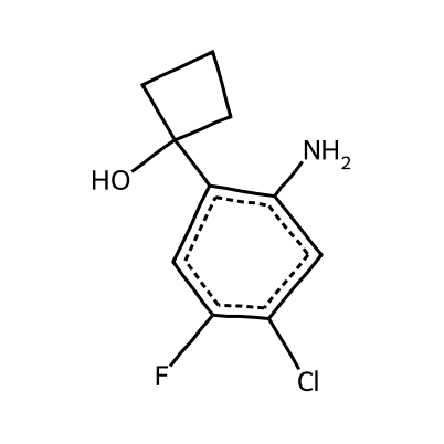 Nc1cc(Cl)c(F)cc1C1(O)CCC1